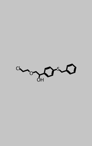 OC(COCCCl)c1ccc(SCc2ccccc2)cc1